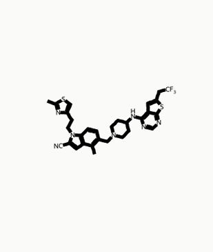 Cc1nc(CCn2c(C#N)cc3c(C)c(CN4CCC(Nc5ncnc6sc(CC(F)(F)F)cc56)CC4)ccc32)cs1